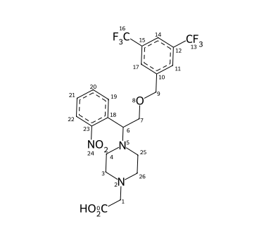 O=C(O)CN1CCN(C(COCc2cc(C(F)(F)F)cc(C(F)(F)F)c2)c2ccccc2[N+](=O)[O-])CC1